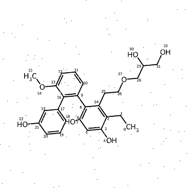 CCc1c(O)cc(O)c(-c2[c]ccc(OC)c2-c2cccc(O)c2)c1CCOCC(O)CO